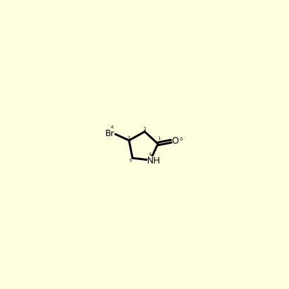 O=C1CC(Br)CN1